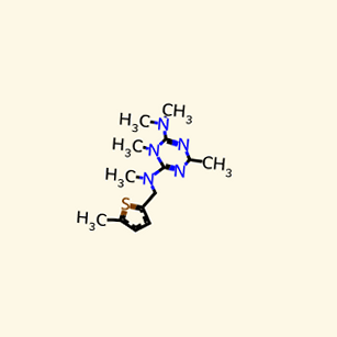 Cc1ccc(CN(C)C2=NC(C)N=C(N(C)C)N2C)s1